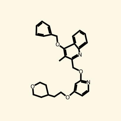 Cc1c(COc2cc(OCCC3CCOCC3)ccn2)nc2ccccc2c1OCc1ccccc1